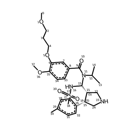 COCCCOc1cc(C(=O)N(C(C)C)C(NS(C)(=O)=O)[C@@H]2CNC[C@@H]2c2ccc(C)cc2)ccc1OC